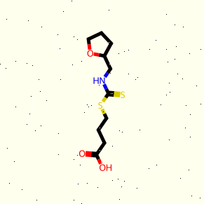 O=C(O)CCCSC(=S)NCC1CCCO1